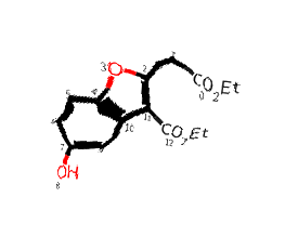 CCOC(=O)Cc1oc2ccc(O)cc2c1C(=O)OCC